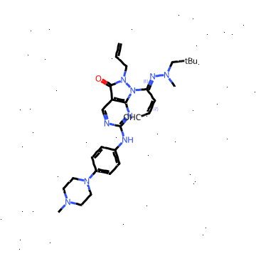 C=CCn1c(=O)c2cnc(Nc3ccc(N4CCN(C)CC4)cc3)nc2n1C(/C=C\C=O)=N/N(C)CC(C)(C)C